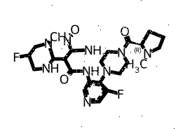 CN1CC(F)CNC1C(C(=O)Nc1cncc(F)c1N1CCN(C(=O)[C@H]2CCCN2C)CC1)C(N)N=O